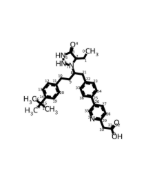 CCC1C(=O)NNN1C(CCc1ccc(C(C)(C)C)cc1)Cc1ccc(-c2ccc(CC(=O)O)nc2)cc1